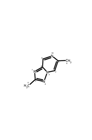 Cc1cn2nc(C)nc2cn1